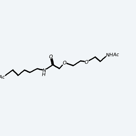 CC(=O)CCCCCNC(=O)COCCOCCNC(C)=O